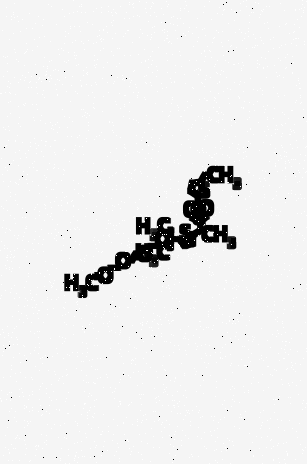 CCOCCOCCOCCOC(CC)(CC)c1ccc(C(C)C23COC(c4ccc(CC)s4)(OC2)OC3)s1